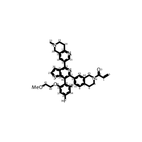 C=CC(=O)N1CCc2ccc(-c3nc(-c4cnc5c(c4)CN(C)CC5)c4ccsc4c3-c3c(F)cc(F)cc3OCCOC)cc2C1